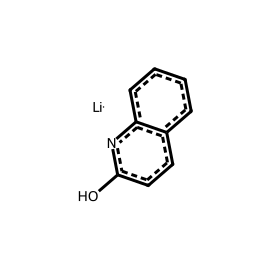 Oc1ccc2ccccc2n1.[Li]